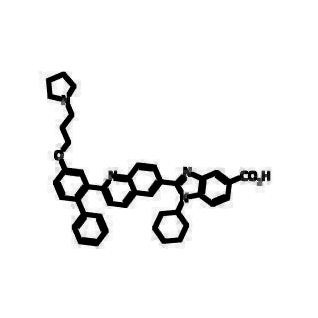 O=C(O)c1ccc2c(c1)nc(-c1ccc3nc(-c4cc(OCCCN5CCCC5)ccc4-c4ccccc4)ccc3c1)n2C1CCCCC1